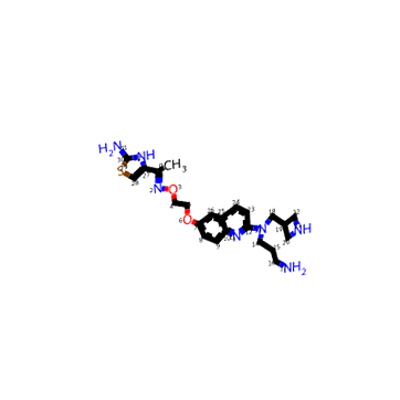 C/C(=N\OCCOc1ccc2nc(N(CCCN)CC3CNC3)ccc2c1)C1=CSC(N)N1